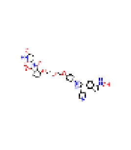 O=C1CCC(N2C(=O)c3cccc(OCCOCCOc4ccc(-n5cc(-c6ccc7c(c6)CCC7NO)c(-c6ccncc6)n5)cc4)c3C2=O)C(=O)N1